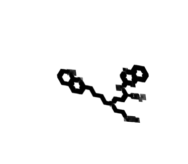 CC(=O)NCCN(CCCCc1ccc2c(n1)NCCC2)CC[C@H](Nc1cnc2ccccc2n1)C(=O)O